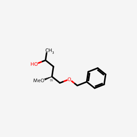 CO[C@H](COCc1ccccc1)CC(C)O